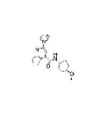 CO[C@H]1CC[C@H](NC(=O)c2cc(-n3ccnc3)nc3c2CCC3)CC1